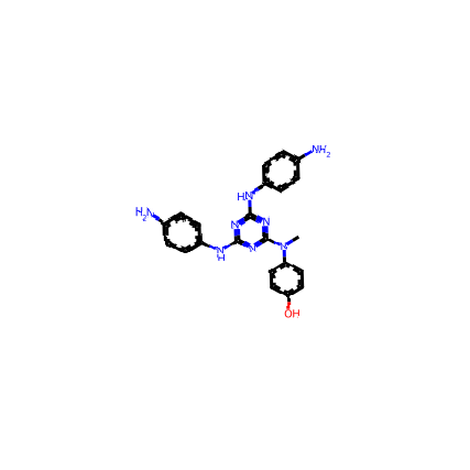 CN(c1ccc(O)cc1)c1nc(Nc2ccc(N)cc2)nc(Nc2ccc(N)cc2)n1